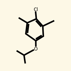 Cc1cc(OC(C)C)cc(C)c1Cl